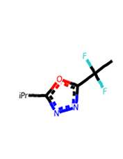 CC(C)c1nnc(C(C)(F)F)o1